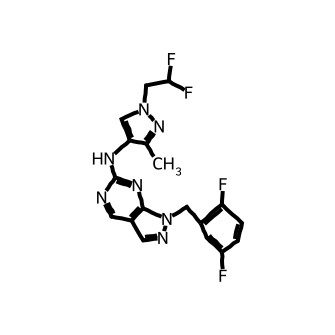 Cc1nn(CC(F)F)cc1Nc1ncc2cnn(Cc3cc(F)ccc3F)c2n1